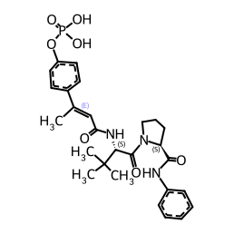 C/C(=C\C(=O)N[C@H](C(=O)N1CCC[C@H]1C(=O)Nc1ccccc1)C(C)(C)C)c1ccc(OP(=O)(O)O)cc1